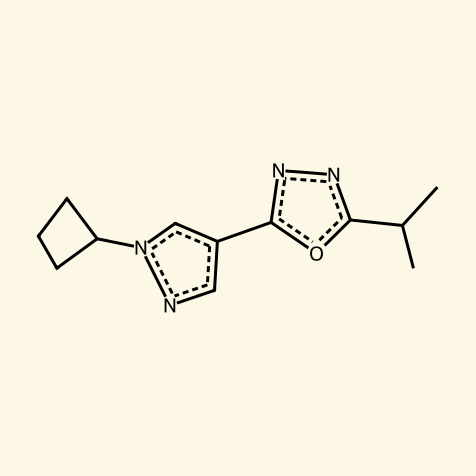 CC(C)c1nnc(-c2cnn(C3CCC3)c2)o1